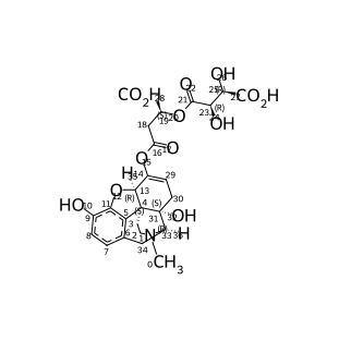 CN1CC[C@]23c4c5ccc(O)c4O[C@H]2C(OC(=O)C[C@H](OC(=O)[C@H](O)[C@@H](O)C(=O)O)C(=O)O)=CC[C@@]3(O)[C@H]1C5